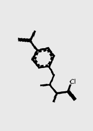 C=C(C)c1ccc(CC(C)C(C)C(=C)Cl)cc1